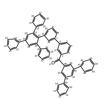 O=C(c1cccc(-c2cccc(-c3c(-c4ccccc4)cc(-c4ccccc4)cc3-c3ccccc3)c2)c1)c1cc(-c2ccccc2)cc(-c2ccccc2)c1